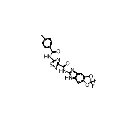 Cc1ccc(C(=O)Nc2nc(C(=O)Nc3nc4cc5c(cc4[nH]3)OC(F)(F)O5)ns2)cc1